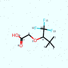 CC(C)(C)C(OCC(=O)O)C(F)(F)F